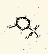 CCc1cccc(S(=O)(=O)CC)n1